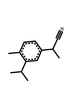 Cc1ccc(C(C)C#N)cc1C(C)C